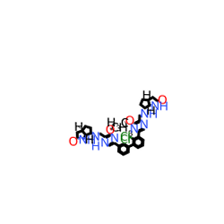 COc1nc(-c2cccc(-c3cccc(-c4cnc(CN[C@@H]5CC[C@@H]6CC(=O)N[C@@H]65)c(OC)n4)c3Cl)c2Cl)cnc1CN[C@@H]1CC[C@@H]2CC(=O)N[C@@H]21